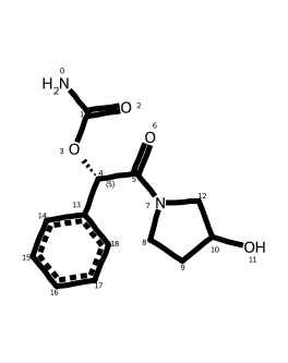 NC(=O)O[C@H](C(=O)N1CCC(O)C1)c1ccccc1